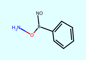 NOB(N=O)c1ccccc1